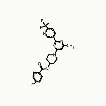 Cc1cc(N2CCC(NC(=O)c3ccc(F)cc3)CC2)nc(-c2ccc(C(F)(F)F)nc2)n1